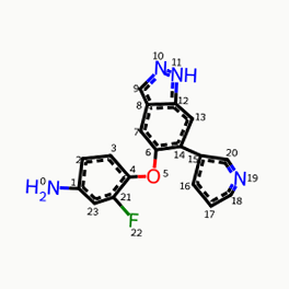 Nc1ccc(Oc2cc3cn[nH]c3cc2-c2cccnc2)c(F)c1